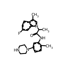 Cc1ccc(N2CCNCC2)cc1NC(=O)C(C)n1cc(C)c2ccc(F)cc21